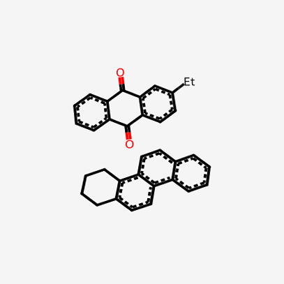 CCc1ccc2c(c1)C(=O)c1ccccc1C2=O.c1ccc2c(c1)ccc1c3c(ccc12)CCCC3